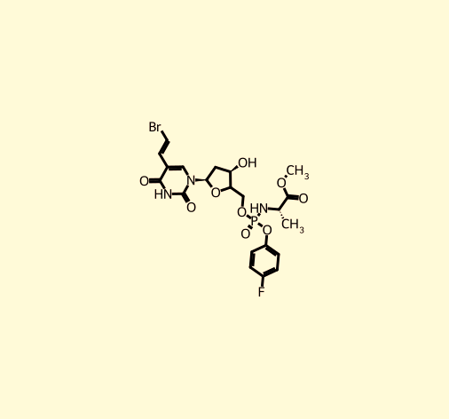 COC(=O)[C@H](C)NP(=O)(OCC1O[C@@H](n2cc(/C=C/Br)c(=O)[nH]c2=O)C[C@H]1O)Oc1ccc(F)cc1